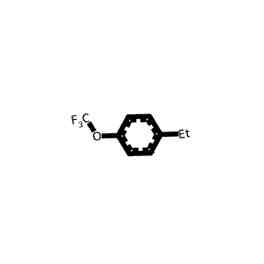 CCc1[c]cc(OC(F)(F)F)cc1